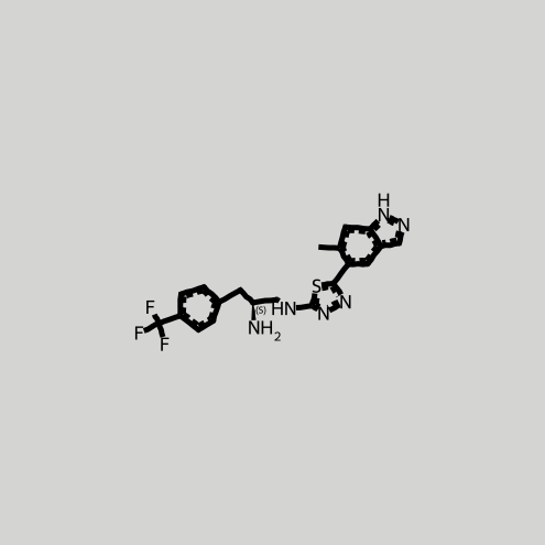 Cc1cc2[nH]ncc2cc1-c1nnc(NC[C@@H](N)Cc2ccc(C(F)(F)F)cc2)s1